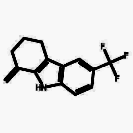 C=C1CCCc2c1[nH]c1ccc(C(F)(F)F)cc21